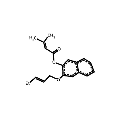 CCC=CCOc1cc2ccccc2cc1OC(=O)C=C(C)C